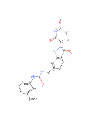 CNc1cccc(NC(=O)NCc2ccc3c(c2)CN(C2CCC(=O)NC2=O)C3=O)c1